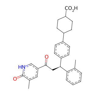 Cc1ccccc1[C@@H](CC(=O)c1c[nH]c(=O)c(C)c1)c1ccc(C2CCC(C(=O)O)CC2)cc1